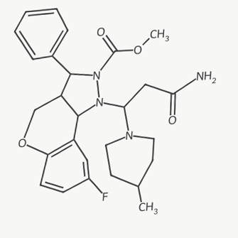 COC(=O)N1C(c2ccccc2)C2COc3ccc(F)cc3C2N1C(CC(N)=O)N1CCC(C)CC1